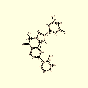 C=C1c2ccc(-c3cccnc3C)cc2-n2nc(-c3cc(C)nc(C)c3)cc2N1C